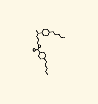 CCCCCC1CCC(C(=O)OCCCC(C)C2CCC(CCCCC)CC2)CC1